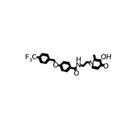 Cc1c(O)c(=O)ccn1CCNC(=O)c1ccc(OCc2ccc(C(F)(F)F)cc2)cc1